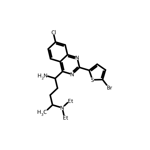 CCN(CC)C(C)CCC(N)c1nc(-c2ccc(Br)s2)nc2cc(Cl)ccc12